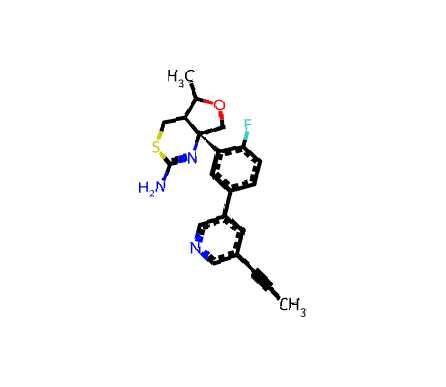 CC#Cc1cncc(-c2ccc(F)c([C@]34COC(C)C3CSC(N)=N4)c2)c1